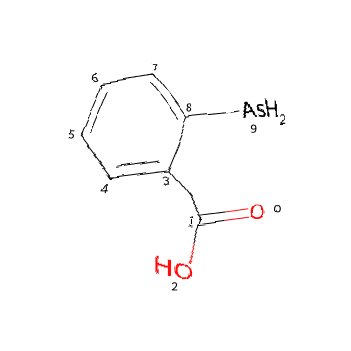 O=C(O)c1ccccc1[AsH2]